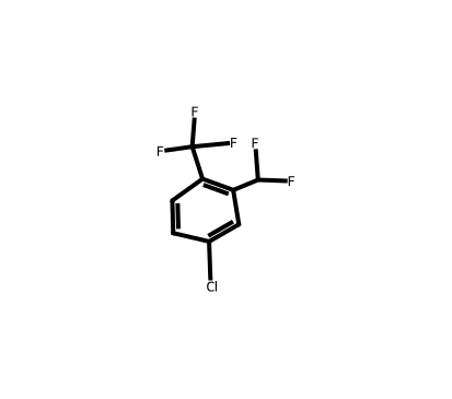 FC(F)c1cc(Cl)ccc1C(F)(F)F